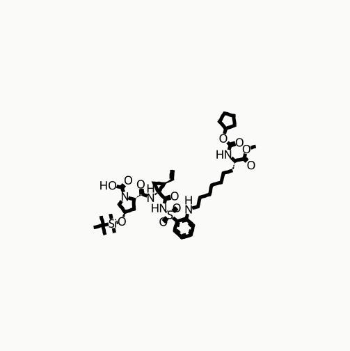 C=C[C@@H]1C[C@]1(NC(=O)[C@@H]1C[C@@H](O[Si](C)(C)C(C)(C)C)CN1C(=O)O)C(=O)NS(=O)(=O)c1ccccc1NCCCCCCC[C@H](NC(=O)OC1CCCC1)C(=O)OC